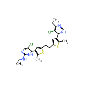 CCNC1=NC=C(Cl)C(c2cc(CCc3cc(C4NC=NC(CC)=C4Cl)c(C)s3)sc2C)N1